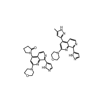 Cc1cc(-c2cc(N3CCOCC3)nc3c(-c4ccn[nH]4)nccc23)n[nH]1.O=C1CCCN1c1cc(N2CCOCC2)nc2c(-c3ccn[nH]3)nccc12